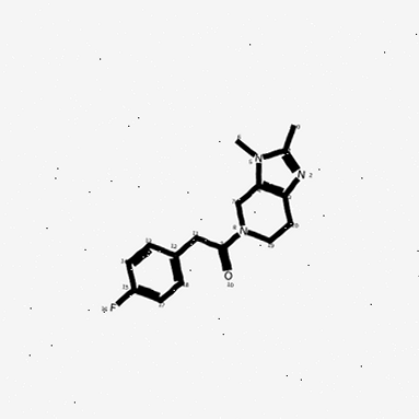 Cc1nc2c(n1C)CN(C(=O)Cc1ccc(F)cc1)CC2